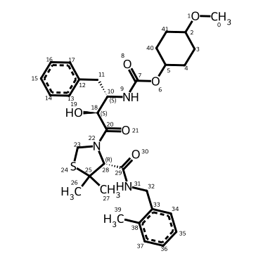 COC1CCC(OC(=O)N[C@@H](Cc2ccccc2)[C@H](O)C(=O)N2CSC(C)(C)[C@H]2C(=O)NCc2ccccc2C)CC1